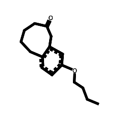 CCCCOc1ccc2c(c1)CC(=O)CCCC2